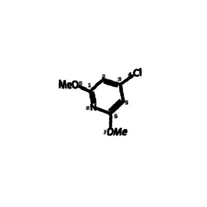 COc1cc(Cl)cc(OC)n1